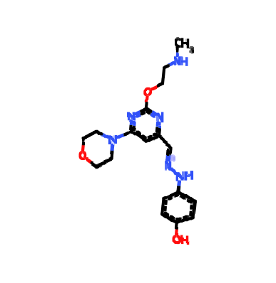 CNCCOc1nc(/C=N/Nc2ccc(O)cc2)cc(N2CCOCC2)n1